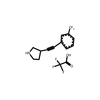 FC(F)(F)c1cccc(C#CC2CCNC2)c1.O=C(O)C(F)(F)F